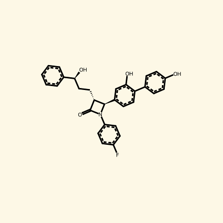 O=C1[C@H](CC[C@H](O)c2ccccc2)[C@@H](c2ccc(-c3ccc(O)cc3)c(O)c2)N1c1ccc(F)cc1